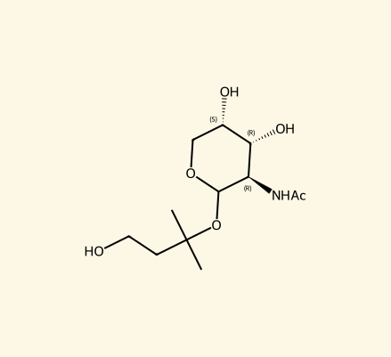 CC(=O)N[C@H]1C(OC(C)(C)CCO)OC[C@H](O)[C@@H]1O